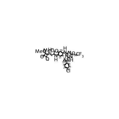 COC(=O)C(CNc1c(OC)c(=O)c1=O)Nc1ccc(Nc2nc(NC3(c4ccc(Cl)cc4)CC3)nc(OCC(F)(F)F)n2)cc1